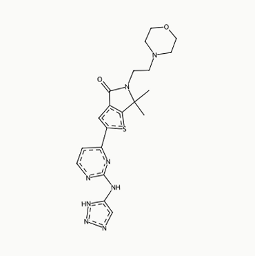 CC1(C)c2sc(-c3ccnc(Nc4cnn[nH]4)n3)cc2C(=O)N1CCN1CCOCC1